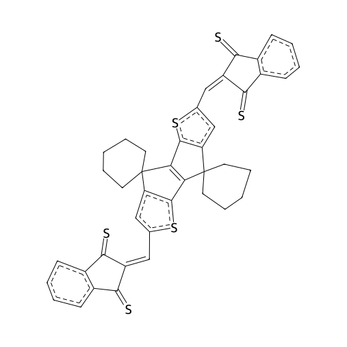 S=C1C(=Cc2cc3c(s2)C2=C(c4sc(C=C5C(=S)c6ccccc6C5=S)cc4C24CCCCC4)C32CCCCC2)C(=S)c2ccccc21